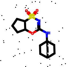 O=S1(=O)N=C(NC23CCC(CC2)CC3)OC2CCCC21